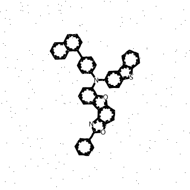 c1ccc(-c2nc3c(ccc4oc5c(N(c6ccc(-c7cccc8ccccc78)cc6)c6ccc7sc8ccccc8c7c6)cccc5c43)o2)cc1